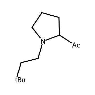 CC(=O)C1CCCN1CCC(C)(C)C